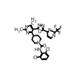 Cc1nc(C)c(-c2nnc(-c3ccnc(C(F)(F)F)n3)o2)c(C2CCN(C(=O)Nc3c(Cl)cccc3Cl)CC2)n1